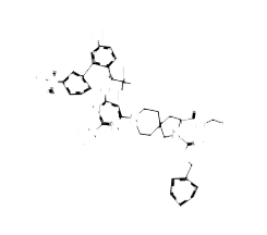 CCOC(=O)[C@@H]1CC2(CCN(c3cc(O[C@H](c4ccc(Cl)cc4-c4cccc(S(C)(=O)=O)c4)C(F)(F)F)nc(N)n3)CC2)CN1C(=O)OCc1ccccc1